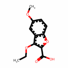 CCOc1c(C(=O)O)oc2ccc(OC)cc12